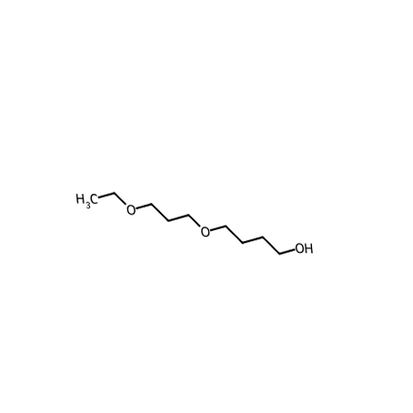 CCOCCCOCCCCO